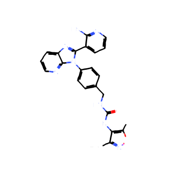 Cc1noc(C)c1NC(=O)NCc1ccc(-n2c(-c3cccnc3N)nc3cccnc32)cc1